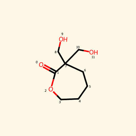 O=C1OCCCCC1(CO)CO